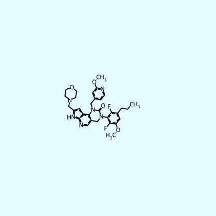 CCCc1cc(OC)c(F)c(N2Cc3cnc4[nH]c(CN5CCOCC5)cc4c3N(Cc3ccnc(OC)c3)C2=O)c1F